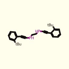 CC(C)(C)c1ccccc1C#CPCCPC#Cc1ccccc1C(C)(C)C